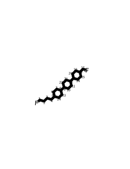 FCCCCC1CCC(C2CCC(C3CCC(CF)CC3)CC2)CC1